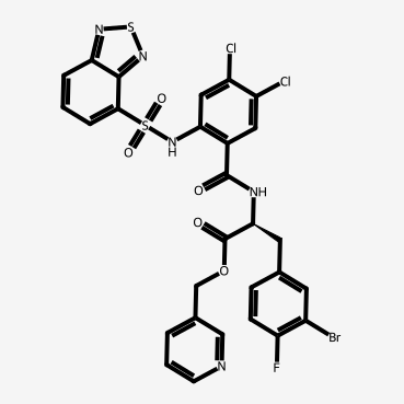 O=C(N[C@@H](Cc1ccc(F)c(Br)c1)C(=O)OCc1cccnc1)c1cc(Cl)c(Cl)cc1NS(=O)(=O)c1cccc2nsnc12